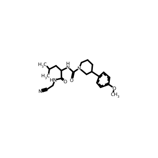 COc1ccc(C2CCCN(C(=O)NC(CC(C)C)C(=O)NCC#N)C2)cc1